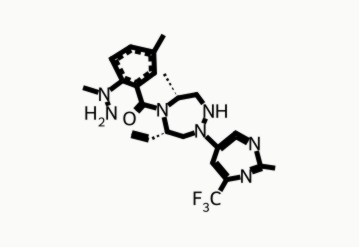 C=C[C@H]1CN(C2=C=NC(C)=NC(C(F)(F)F)=C2)NC[C@@H](C)N1C(=O)c1cc(C)ccc1N(C)N